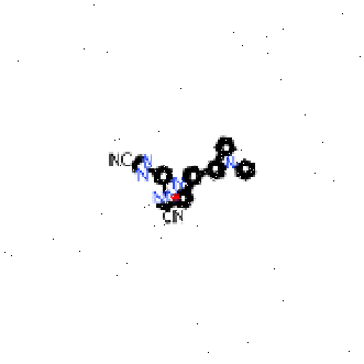 N#Cc1cnc(-c2ccc(-n3c4ccccc4c4cc(-c5ccc6c(c5)c5ccccc5n6-c5ccccc5)ccc43)c(-c3ncc(C#N)cn3)c2)nc1